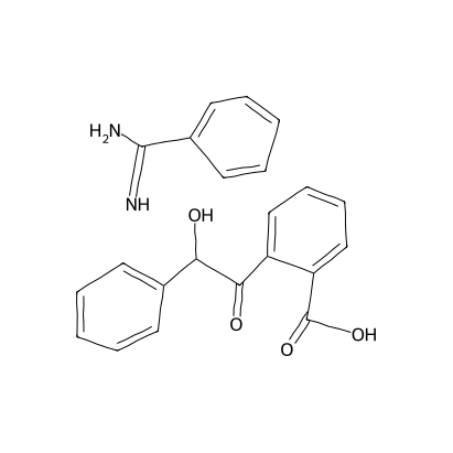 N=C(N)c1ccccc1.O=C(O)c1ccccc1C(=O)C(O)c1ccccc1